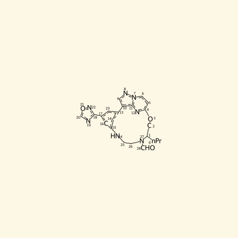 CCCC1COc2ccn3ncc(c3n2)-c2cc(cc(-c3ncon3)c2)NCCN1C=O